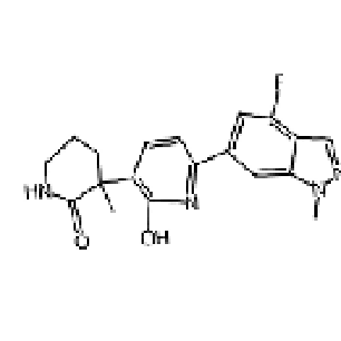 Cn1ncc2c(F)cc(-c3ccc(C4(C)CCCNC4=O)c(O)n3)cc21